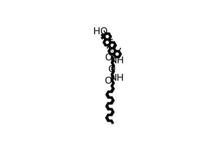 CC/C=C\C/C=C\C/C=C\C/C=C\C/C=C\C/C=C\CCC(=O)NCCOCCNC(=O)[C@]12CCC[C@H](C)C1C1=CCC3[C@@]4(C)CC[C@H](O)C(C)(C)C4CC[C@@]3(C)[C@]1(C)CC2